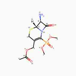 COP(=O)(OC)C1=C(COC(C)=O)CS[C@@H]2[C@@H](N)C(=O)N12